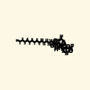 CCCCCCCCCCCCCCCS(=O)(=O)N[C@@H](CC(C)C)C(=O)N[C@H]1CCO[C@]1(O)OC(C)=O